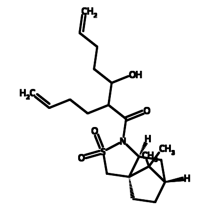 C=CCCC(O)C(CCC=C)C(=O)N1[C@H]2C[C@@H]3CC[C@@]2(CS1(=O)=O)C3(C)C